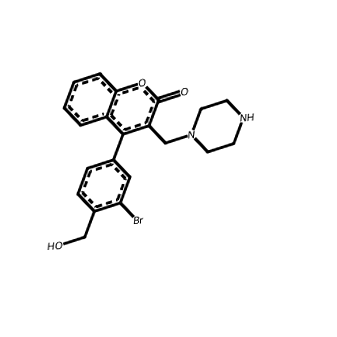 O=c1oc2ccccc2c(-c2ccc(CO)c(Br)c2)c1CN1CCNCC1